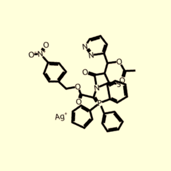 CC(=O)OC(c1cccnn1)C1C(=O)N(C(C(=O)OCc2ccc([N+](=O)[O-])cc2)=P(c2ccccc2)(c2ccccc2)c2ccccc2)C1[S-].[Ag+]